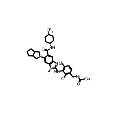 Cn1c(Nc2c(Cl)ccc(CNC(=O)C(C)(C)C)c2Cl)nc2cc(C(=O)N[C@H]3CC[C@H](C(F)(F)F)CC3)c(N3CC4CCCC4C3)cc21